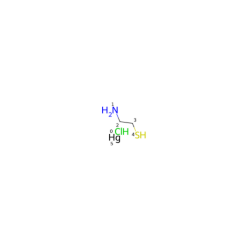 Cl.NCCS.[Hg]